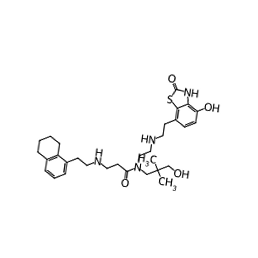 CC(C)(CO)CN(CCNCCc1ccc(O)c2[nH]c(=O)sc12)C(=O)CCNCCc1cccc2c1CCCC2